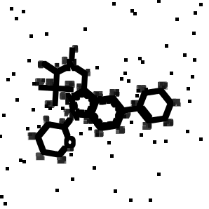 CC(N(C)Cc1nn(C2CCCCO2)c2ccc(C3=CCCCC3)cc12)C(C)(C)C